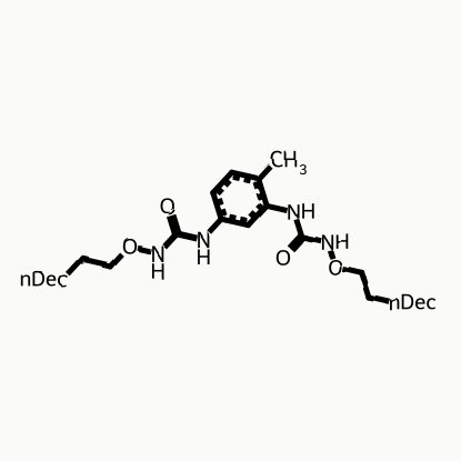 CCCCCCCCCCCCONC(=O)Nc1ccc(C)c(NC(=O)NOCCCCCCCCCCCC)c1